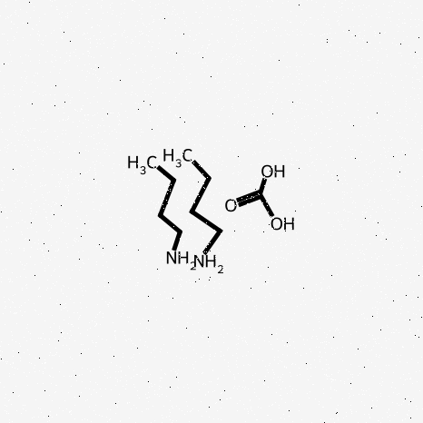 CCCCN.CCCCN.O=C(O)O